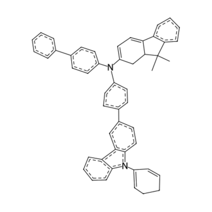 CC1(C)c2ccccc2C2=CC=C(N(c3ccc(-c4ccccc4)cc3)c3ccc(-c4ccc5c(c4)c4ccccc4n5C4=CCCC=C4)cc3)CC21